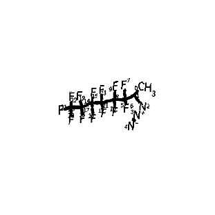 CC(N=[N+]=[N-])C(F)(F)C(F)(F)C(F)(F)C(F)(F)C(F)(F)C(F)(F)F